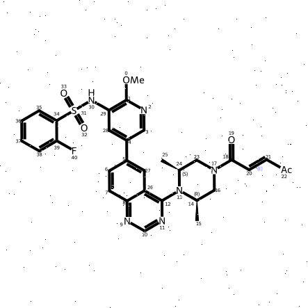 COc1ncc(-c2ccc3ncnc(N4[C@H](C)CN(C(=O)/C=C/C(C)=O)C[C@@H]4C)c3c2)cc1NS(=O)(=O)c1ccccc1F